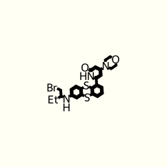 CCC(CBr)Nc1ccc2c(c1)Sc1cccc(-c3cc(N4CCOCC4)cc(=O)[nH]3)c1S2